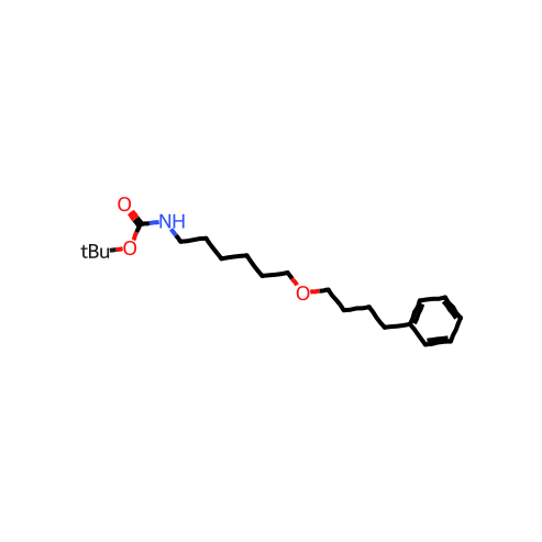 CC(C)(C)OC(=O)NCCCCCCOCCCCc1ccccc1